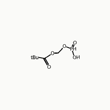 CC(C)(C)C(=O)OCO[PH](=O)O